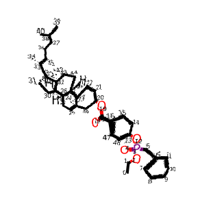 CCOP(=O)(Cc1ccccc1)Oc1ccc(C(=O)O[C@@H]2CC[C@@]3(C)C(=CC[C@H]4[C@@H]5CC[C@H]([C@H](C)CCCC(C)C)[C@@]5(C)CC[C@@H]43)C2)cc1